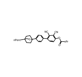 CCCCCC12CCC(c3ccc(-c4ccc(OC(=O)CCC)c(C#N)c4C#N)cc3)(CC1)CC2